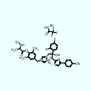 CCNC(C)C(=O)Oc1c(C)cc(C[n+]2cnn(C[C@](O)(c3ccc(F)cc3F)[C@@H](C)c3nc(-c4ccc(C#N)cc4)cs3)c2)cc1C.O=C(O)C(F)(F)F.[Br-]